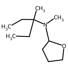 CCC(C)(CC)N(C)C1CCCO1